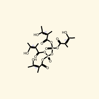 C/C(O)=C(\C)C(=O)OP(=O)(OC(=O)/C(C)=C(/C)O)OP(=O)(OC(=O)/C(C)=C(/C)O)OC(=O)/C(C)=C(/C)O